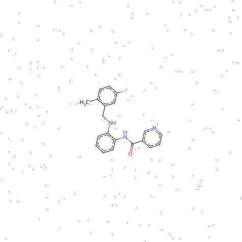 Cc1ccc(F)cc1CNc1ccccc1NC(=O)c1cccnc1